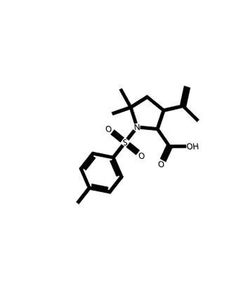 C=C(C)C1CC(C)(C)N(S(=O)(=O)c2ccc(C)cc2)C1C(=O)O